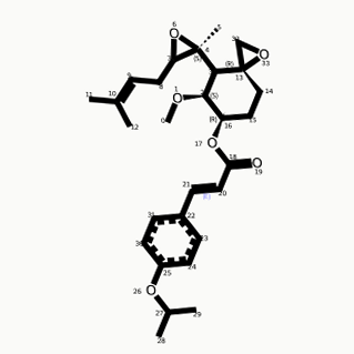 CO[C@H]1C([C@]2(C)OC2CC=C(C)C)[C@]2(CC[C@H]1OC(=O)/C=C/c1ccc(OC(C)C)cc1)CO2